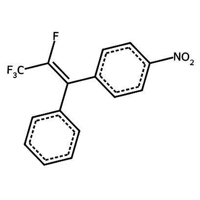 O=[N+]([O-])c1ccc(C(=C(F)C(F)(F)F)c2ccccc2)cc1